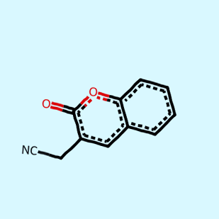 N#CCc1cc2ccccc2oc1=O